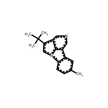 Cc1ccc2c(c1)c1cncc3c(C(C)(C)C)cn2c31